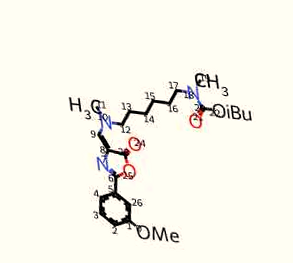 COc1cccc(C2=NC(=CN(C)CCCCCCN(C)C(=O)OCC(C)C)C(=O)O2)c1